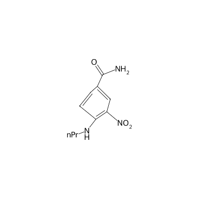 CCCNc1ccc(C(N)=O)cc1[N+](=O)[O-]